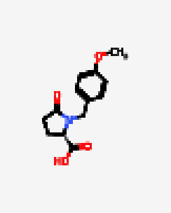 COc1ccc(CN2C(=O)CC[C@H]2C(=O)O)cc1